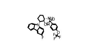 O=S(=O)(N[C@H]1CCC[C@@H](n2c3ccccc3c3cc(F)ccc32)[C@@H]1O)c1ccc(OC(F)(F)F)cc1